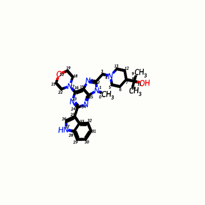 Cn1c(CN2CCC(C(C)(C)O)CC2)nc2c(N3CCOCC3)nc(-c3c[nH]c4ccccc34)nc21